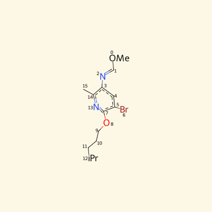 CO/C=N/c1cc(Br)c(OCCCC(C)C)nc1C